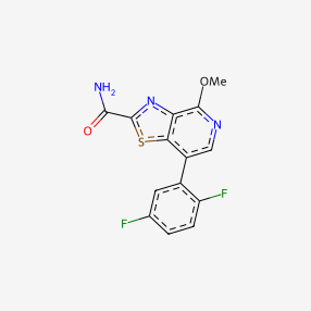 COc1ncc(-c2cc(F)ccc2F)c2sc(C(N)=O)nc12